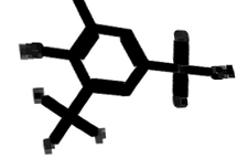 Cc1cc(S(=O)(=O)O)cc(C(F)(F)F)c1O